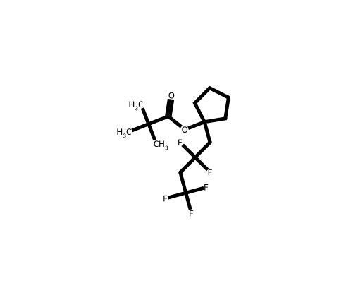 CC(C)(C)C(=O)OC1(CC(F)(F)CC(F)(F)F)CCCC1